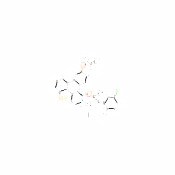 CC[Si](CC)(CC)Oc1cccc(-c2cccc(S)c2-c2cccc(O[Si](CC)(CC)CC)c2)c1.O=S(=O)(O)c1ccc(F)cc1